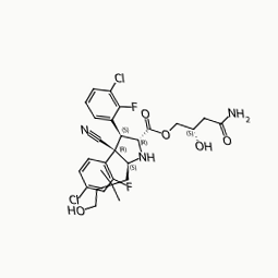 CC(C)(CCO)C[C@@H]1N[C@@H](C(=O)OC[C@@H](O)CC(N)=O)[C@H](c2cccc(Cl)c2F)[C@@]1(C#N)c1ccc(Cl)cc1F